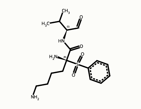 CC(C)[C@@H]([C]=O)NC(=O)[C@@](N)(CCCCN)S(=O)(=O)c1ccccc1